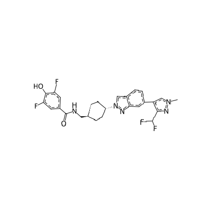 Cn1cc(-c2ccc3cn([C@H]4CC[C@H](CNC(=O)c5cc(F)c(O)c(F)c5)CC4)nc3c2)c(C(F)F)n1